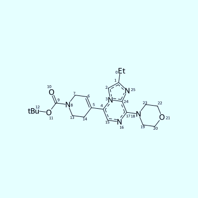 CCc1cn2c(C3=CCN(C(=O)OC(C)(C)C)CC3)cnc(N3CCOCC3)c2n1